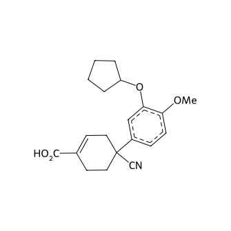 COc1ccc(C2(C#N)CC=C(C(=O)O)CC2)cc1OC1CCCC1